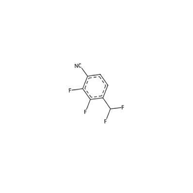 N#Cc1ccc(C(F)F)c(F)c1F